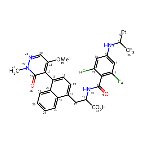 CCC(Nc1cc(F)c(C(=O)NC(Cc2ccc(-c3c(OC)cnn(C)c3=O)c3ccccc23)C(=O)O)c(F)c1)C(F)(F)F